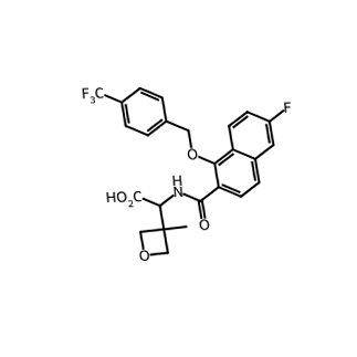 CC1(C(NC(=O)c2ccc3cc(F)ccc3c2OCc2ccc(C(F)(F)F)cc2)C(=O)O)COC1